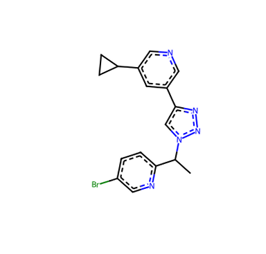 CC(c1ccc(Br)cn1)n1cc(-c2cncc(C3CC3)c2)nn1